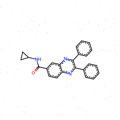 O=C(NC1CC1)c1ccc2nc(-c3ccccc3)c(-c3ccccc3)nc2c1